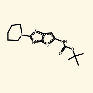 CC(C)(C)OC(=O)Nc1cc2sc(N3CCCCC3)nc2s1